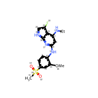 CCNc1cc(Nc2ccc(S(C)(=O)=O)cc2OC)nc2[nH]cc(F)c12